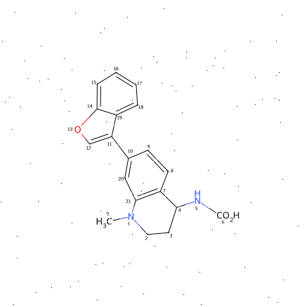 CN1CCC(NC(=O)O)c2ccc(-c3coc4ccccc34)cc21